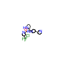 O=C(N[C@@H](c1ccc(-c2cccnc2)cc1)[C@@H]1CCCCN1)c1nccc(C(F)(F)F)c1Cl